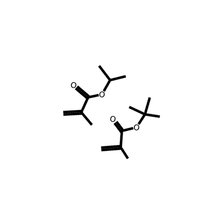 C=C(C)C(=O)OC(C)(C)C.C=C(C)C(=O)OC(C)C